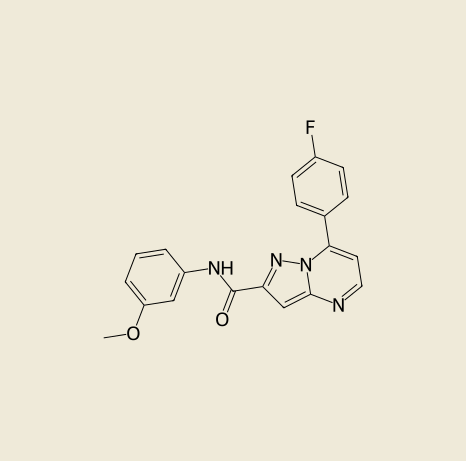 COc1cccc(NC(=O)c2cc3nccc(-c4ccc(F)cc4)n3n2)c1